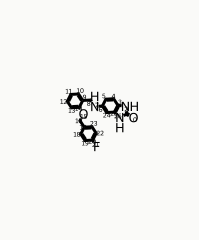 O=c1[nH]c2ccc(NCc3ccccc3OCc3ccc(F)cc3)cc2[nH]1